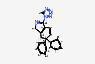 C1=CC(c2ccccc2)(c2ccccc2)CC2=C1C(n1cnnn1)=NC2